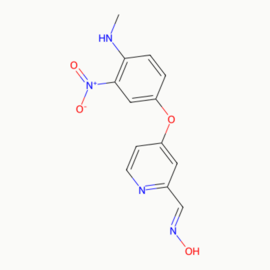 CNc1ccc(Oc2ccnc(/C=N/O)c2)cc1[N+](=O)[O-]